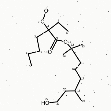 CCCCC(CC)(O[O])C(=O)OC(C)(C)CCCC(C)CCO